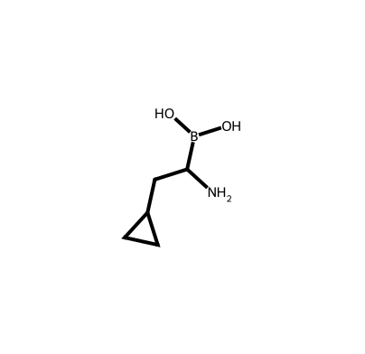 NC(CC1CC1)B(O)O